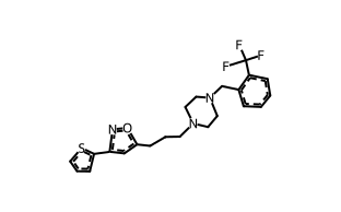 FC(F)(F)c1ccccc1CN1CCN(CCCc2cc(-c3cccs3)no2)CC1